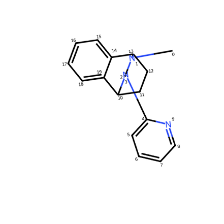 CN1CN(c2ccccn2)C2CCC1c1ccccc12